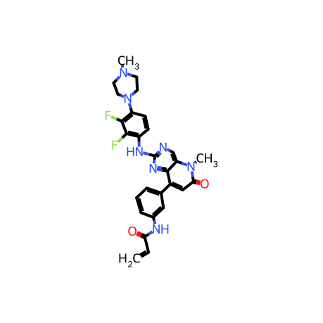 C=CC(=O)Nc1cccc(-c2cc(=O)n(C)c3cnc(Nc4ccc(N5CCN(C)CC5)c(F)c4F)nc23)c1